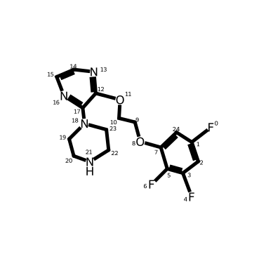 Fc1cc(F)c(F)c(OCCOc2nccnc2N2CCNCC2)c1